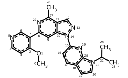 COc1ccncc1-c1cc2c(cnn2-c2ccc3ccn(C(C)C)c3n2)c(C)n1